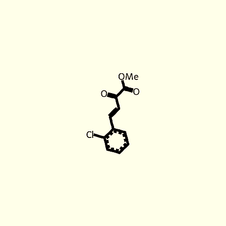 COC(=O)C(=O)/C=C/c1ccccc1Cl